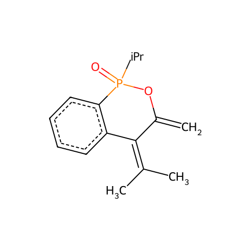 C=C1OP(=O)(C(C)C)c2ccccc2C1=C(C)C